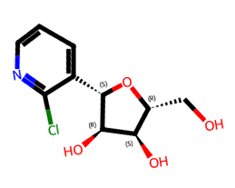 OC[C@H]1O[C@@H](c2cccnc2Cl)[C@H](O)[C@@H]1O